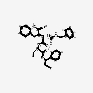 CCC(NC(=O)[C@H](CC)NC(=O)[C@@H](NC(=O)OCc1ccccc1)C(Cc1ccccc1)C(=O)O)c1ccccc1